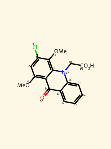 COc1cc(Cl)c(OC)c2c1c(=O)c1ccccc1n2CC(=O)O